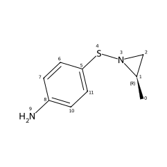 C[C@@H]1CN1Sc1ccc(N)cc1